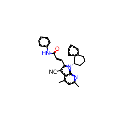 Cc1cc(C)c2c(C#N)c(/C=C/C(=O)Nc3ccccc3)n([C@H]3CCCc4ccccc43)c2n1